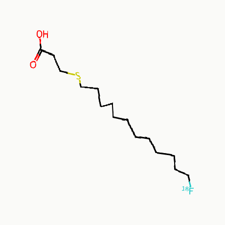 O=C(O)CCSCCCCCCCCCCCC[18F]